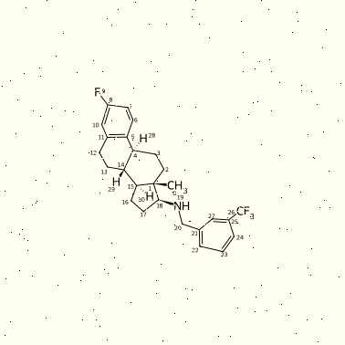 C[C@]12CC[C@@H]3c4ccc(F)cc4CC[C@H]3[C@@H]1CC[C@@H]2NCc1cccc(C(F)(F)F)c1